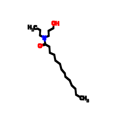 CCCCCCCCCCCCCC(=O)N(CCC)CCCO